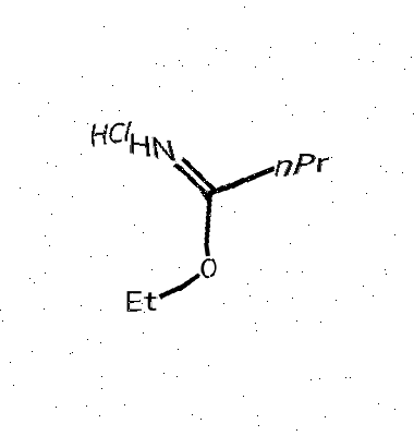 CCCC(=N)OCC.Cl